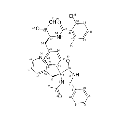 CC(=O)N1[C@@H](c2ccccc2)NC(=O)[C@@]1(Cc1cccnc1)c1ccc(C[C@H](NC(=O)c2c(C)cccc2Cl)C(=O)O)cc1